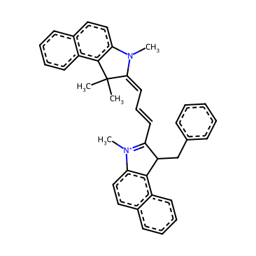 CN1/C(=C/C=C/C2=[N+](C)c3ccc4ccccc4c3C2Cc2ccccc2)C(C)(C)c2c1ccc1ccccc21